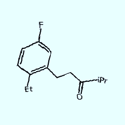 CCc1ccc(F)cc1CCC(=O)C(C)C